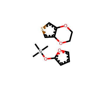 C[Si](C)(C)Oc1ccco1.c1scc2c1OCCO2